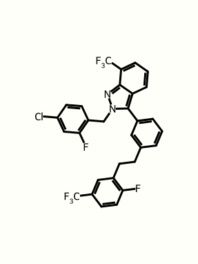 Fc1ccc(C(F)(F)F)cc1CCc1cccc(-c2c3cccc(C(F)(F)F)c3nn2Cc2ccc(Cl)cc2F)c1